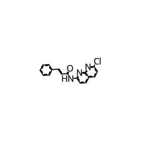 O=C(C=Cc1ccccc1)Nc1ccc2ccc(Cl)nc2n1